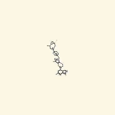 Cc1cc(N2CCc3c(c(C)nn3CC34CCC(N5C[C@@H](C)O[C@H](C)C5)(CC3)CC4)C2)c2cnn(C)c2n1